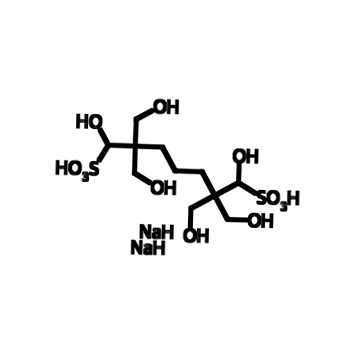 O=S(=O)(O)C(O)C(CO)(CO)CCCC(CO)(CO)C(O)S(=O)(=O)O.[NaH].[NaH]